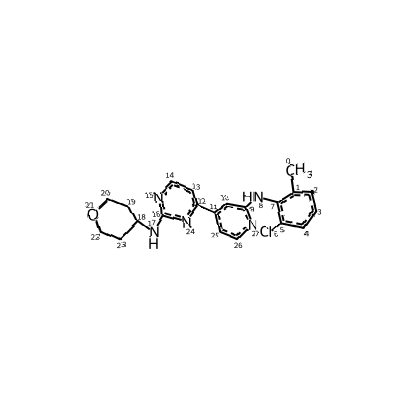 Cc1cccc(Cl)c1Nc1cc(-c2ccnc(NC3CCOCC3)n2)ccn1